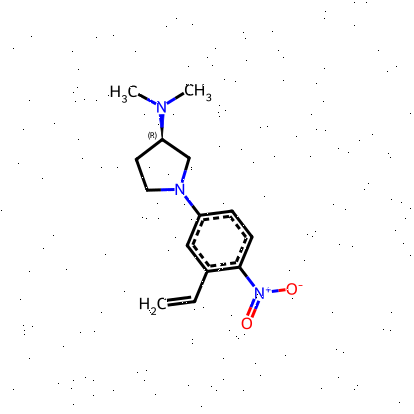 C=Cc1cc(N2CC[C@@H](N(C)C)C2)ccc1[N+](=O)[O-]